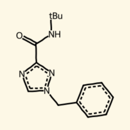 CC(C)(C)NC(=O)c1ncn(Cc2ccccc2)n1